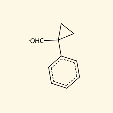 O=[C]C1(c2ccccc2)CC1